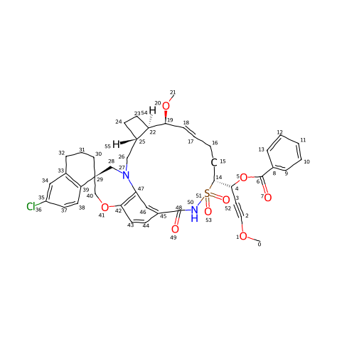 COC#CC(OC(=O)c1ccccc1)[C@H]1CC/C=C/[C@H](OC)[C@@H]2CC[C@H]2CN2C[C@@]3(CCCc4cc(Cl)ccc43)COc3ccc(cc32)C(=O)NS1(=O)=O